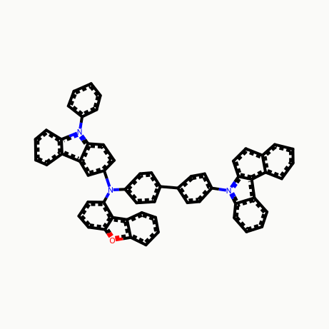 c1ccc(-n2c3ccccc3c3cc(N(c4ccc(-c5ccc(-n6c7ccccc7c7c8ccccc8ccc76)cc5)cc4)c4cccc5oc6ccccc6c45)ccc32)cc1